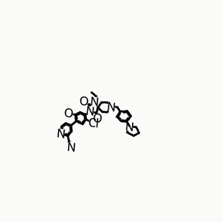 CCN1C(=O)N(c2cc(OC)c(-c3ccnc(C#N)c3)cc2Cl)C(=O)C12CCN(Cc1ccc(N3CCCC3)cc1)CC2